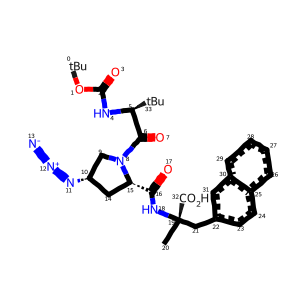 CC(C)(C)OC(=O)N[C@H](C(=O)N1C[C@@H](N=[N+]=[N-])C[C@H]1C(=O)N[C@@](C)(Cc1ccc2ccccc2c1)C(=O)O)C(C)(C)C